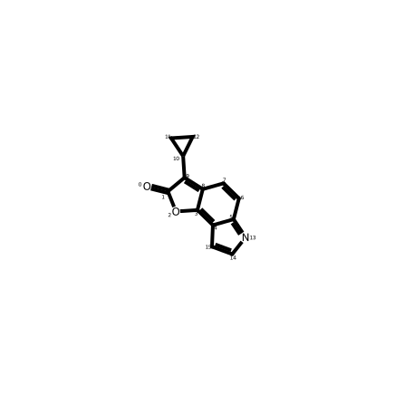 O=C1Oc2c3c(ccc2=C1C1CC1)=NC=C3